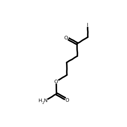 NC(=O)OCCCC(=O)CI